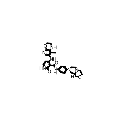 Cc1c(Nc2cc[nH]c(=O)c2C(=O)Nc2ccc(N3CCN4CCOC[C@@H]4C3)cc2)cnc2c1NCCO2